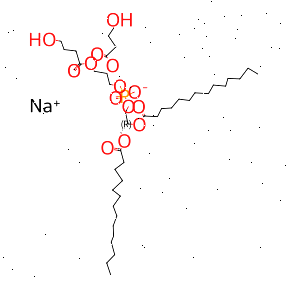 CCCCCCCCCCCCCC(=O)OC[C@H](COP(=O)([O-])OCC(COC(=O)CCCO)OC(=O)CCCO)OC(=O)CCCCCCCCCCCCC.[Na+]